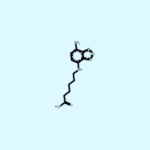 NC(=O)CCCCCNc1ccc([N+](=O)[O-])c2nonc12